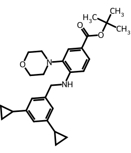 CC(C)(C)OC(=O)c1ccc(NCc2cc(C3CC3)cc(C3CC3)c2)c(N2CCOCC2)c1